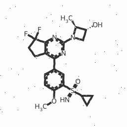 COc1ccc(-c2nc(N3C[C@@H](O)[C@@H]3C)nc3c2CCC3(F)F)cc1S(=N)(=O)C1CC1